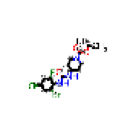 C=C(C)OC(=O)N1CCC(NC(=O)Nc2c(F)cc(Cl)cc2Br)CC1